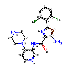 Nc1sc(-c2c(F)cccc2F)nc1C(=O)Nc1cnccc1N1CCNCC1